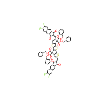 O=C1C(=CC2=Cc3sc4c5c(sc4c3C2(C(=O)OCc2ccccc2)C(=O)OCc2ccccc2)-c2sc(C=C3C(=O)c4cc6cc(F)c(F)cc6cc4C3=O)cc2C5(C(=O)OCc2ccccc2)C(=O)OCc2ccccc2)C(=O)c2cc3cc(F)c(F)cc3cc21